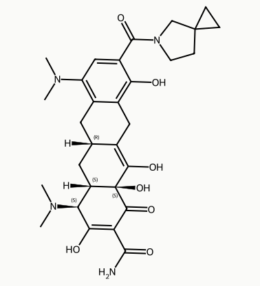 CN(C)c1cc(C(=O)N2CCC3(CC3)C2)c(O)c2c1C[C@H]1C[C@H]3[C@H](N(C)C)C(O)=C(C(N)=O)C(=O)[C@@]3(O)C(O)=C1C2